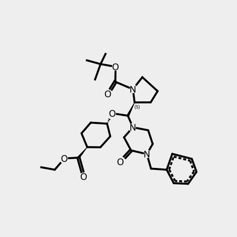 CCOC(=O)[C@H]1CC[C@H](OC([C@@H]2CCCN2C(=O)OC(C)(C)C)N2CCN(Cc3ccccc3)C(=O)C2)CC1